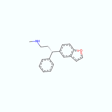 CNCC[C@@H](c1ccccc1)c1ccc2occc2c1